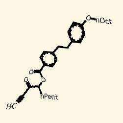 C#CC(=O)C(CCCCC)OC(=O)c1ccc(CCc2ccc(OCCCCCCCC)cc2)cc1